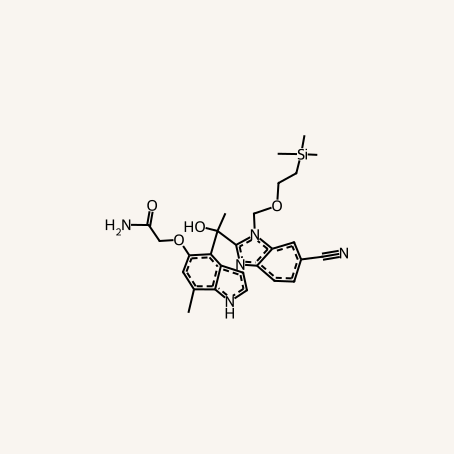 Cc1cc(OCC(N)=O)c(C(C)(O)c2nc3ccc(C#N)cc3n2COCC[Si](C)(C)C)c2cc[nH]c12